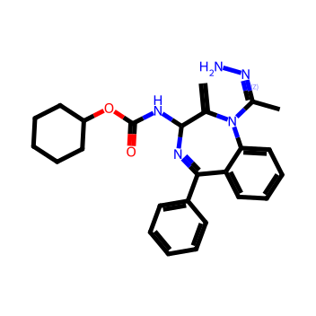 C=C1C(NC(=O)OC2CCCCC2)N=C(c2ccccc2)c2ccccc2N1/C(C)=N\N